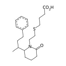 CC(CCc1ccccc1)C1CCCC(=O)N1CCSCCCC(=O)O